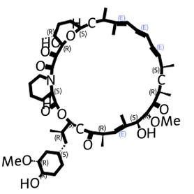 CO[C@@H]1C[C@H](C[C@@H](C)[C@@H]2CC(=O)[C@H](C)/C=C(\C)[C@H](O)[C@@H](OC)C(=O)[C@H](C)C[C@H](C)/C=C/C=C/C=C(\C)C(C)C[C@@H]3CC[C@@H](C)[C@@](O)(O3)C(=O)C(=O)N3CCCC[C@H]3C(=O)O2)CC[C@H]1O